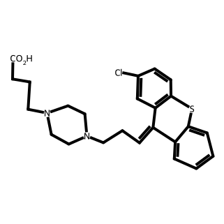 O=C(O)CCCN1CCN(CC/C=C2/c3ccccc3Sc3ccc(Cl)cc32)CC1